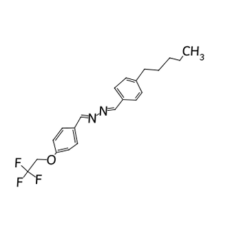 CCCCCc1ccc(C=NN=Cc2ccc(OCC(F)(F)F)cc2)cc1